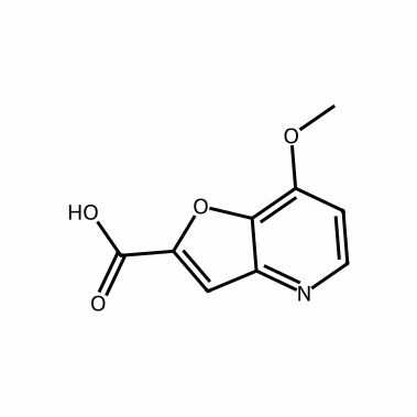 COc1ccnc2cc(C(=O)O)oc12